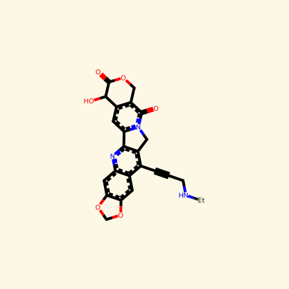 CCNCC#Cc1c2c(nc3cc4c(cc13)OCO4)-c1cc3c(c(=O)n1C2)COC(=O)C3O